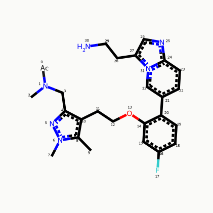 CC(=O)N(C)Cc1nn(C)c(C)c1CCOc1cc(F)ccc1-c1ccc2ncc(CCN)n2c1